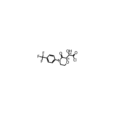 O=C(Cl)[C@H](O)[C@H]1OCCN(c2ccc(C(F)(F)F)cc2)C1=O